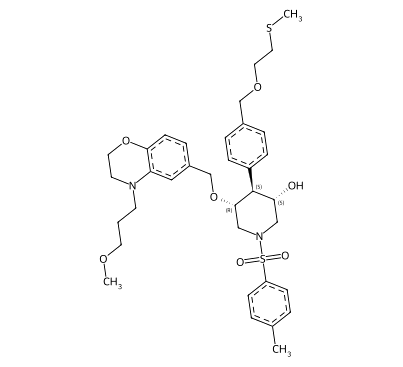 COCCCN1CCOc2ccc(CO[C@H]3CN(S(=O)(=O)c4ccc(C)cc4)C[C@@H](O)[C@@H]3c3ccc(COCCSC)cc3)cc21